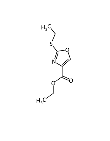 CCOC(=O)c1coc(SCC)n1